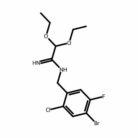 CCOC(OCC)C(=N)NCc1cc(F)c(Br)cc1Cl